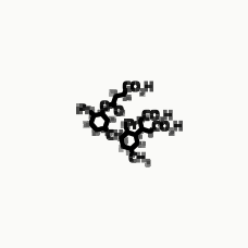 CC1CCC(C(C)C)C(C(CC(=O)O)CC(=O)O)C1.CC1CCC(C(C)C)C(OC(=O)CCC(=O)O)C1